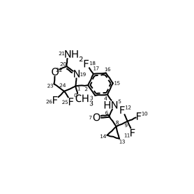 CC1(c2cc(NC(=O)C3(C(F)(F)F)CC3)ccc2F)N=C(N)OCC1(F)F